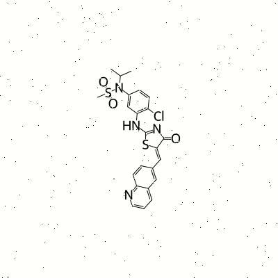 CC(C)N(c1ccc(Cl)c(NC2=NC(=O)/C(=C/c3ccc4ncccc4c3)S2)c1)S(C)(=O)=O